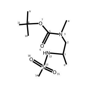 CC(CN(C)C(=O)OC(C)(C)C)NS(C)(=O)=O